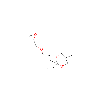 CC[Si]1(CCCOCC2CO2)OCC(C)CO1